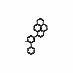 [c]1ccc(-c2ccc3ccc4cccc5ccc2c3c45)cc1-c1ccccc1